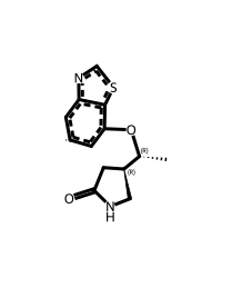 C[C@@H](Oc1c[c]cc2ncsc12)[C@H]1CNC(=O)C1